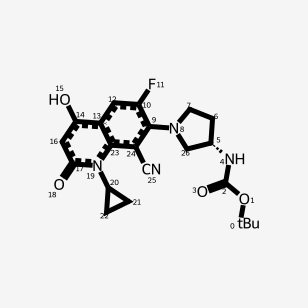 CC(C)(C)OC(=O)N[C@H]1CCN(c2c(F)cc3c(O)cc(=O)n(C4CC4)c3c2C#N)C1